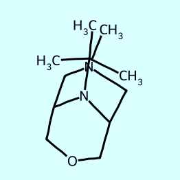 CN1CC2COCC(C1)N2C(C)(C)C